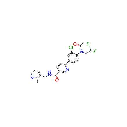 CC(=O)N(CC(F)F)c1ccc(-c2ccc(C(=O)NCc3cccnc3C)cn2)cc1Cl